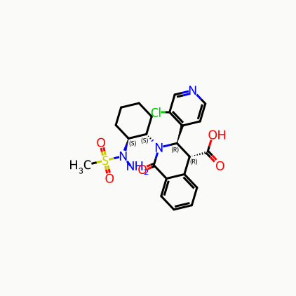 CS(=O)(=O)N(N)[C@H]1CCCC[C@@H]1N1C(=O)c2ccccc2[C@@H](C(=O)O)[C@@H]1c1ccncc1Cl